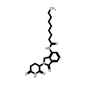 CCCCCCCCC(=O)Nc1cccc2c1CN(C1CCC(=O)NC1=O)C2=O